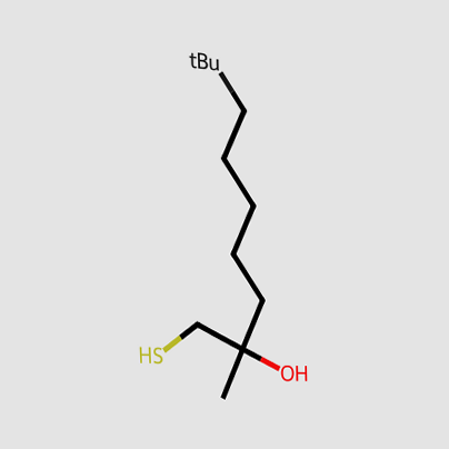 CC(C)(C)CCCCCC(C)(O)CS